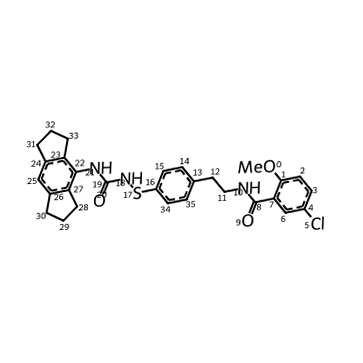 COc1ccc(Cl)cc1C(=O)NCCc1ccc(SNC(=O)Nc2c3c(cc4c2CCC4)CCC3)cc1